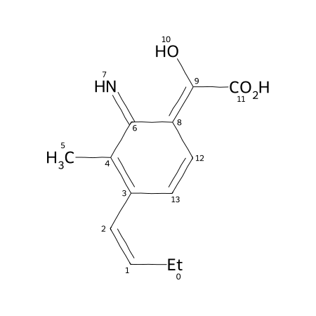 CC/C=C\C1=C(C)C(=N)/C(=C(\O)C(=O)O)C=C1